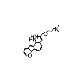 CN(C)CCCOCC1=CC2=C(NN1)C1=CC3=CC=COC3C1=CC=C2